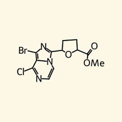 COC(=O)C1CCC(c2nc(Br)c3c(Cl)nccn23)O1